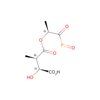 C[C@H](OC(=O)[C@H](C)[C@H](O)C(=O)O)C(=O)P=O